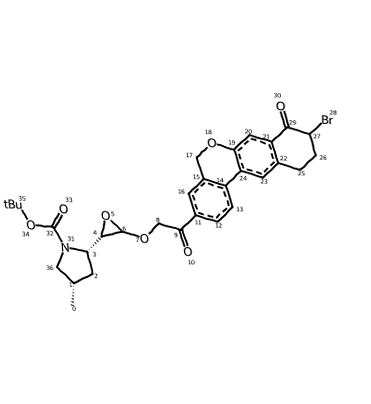 C[C@H]1C[C@@H](C2OC2OCC(=O)c2ccc3c(c2)COc2cc4c(cc2-3)CCC(Br)C4=O)N(C(=O)OC(C)(C)C)C1